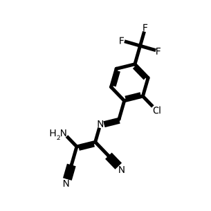 N#CC(N)=C(C#N)N=Cc1ccc(C(F)(F)F)cc1Cl